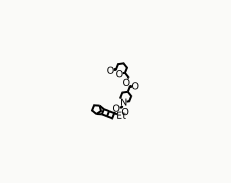 CCC1(OC(=O)N2CCC(C(=O)OCC3CCCC(=O)O3)CC2)CC2C3C4CCC(C4)C3C21